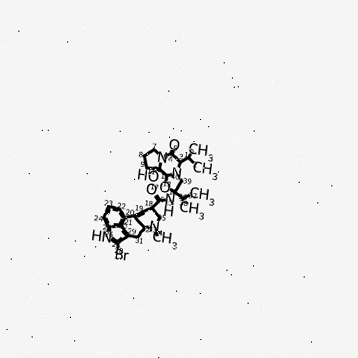 CC(C)C1C(=O)N2CCCC2(O)C2OC(NC(=O)C3C=C4c5cccc6[nH]c(Br)c(c56)CC4N(C)C3)(C(C)C)CN12